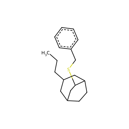 CCCC1CC2CCC(C1)C(SCc1ccccc1)C2